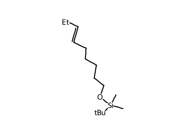 CCC=CCCCCCO[Si](C)(C)C(C)(C)C